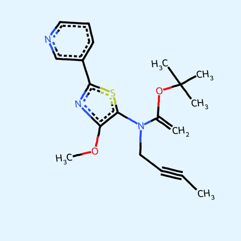 C=C(OC(C)(C)C)N(CC#CC)c1sc(-c2cccnc2)nc1OC